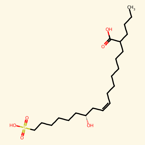 CCCCC(CCCCCC/C=C\C[C@H](O)CCCCCCS(=O)(=O)O)C(=O)O